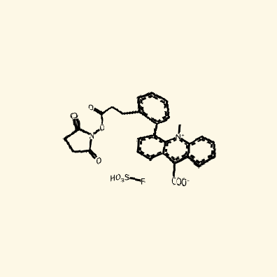 C[n+]1c2ccccc2c(C(=O)[O-])c2cccc(-c3ccccc3CCC(=O)ON3C(=O)CCC3=O)c21.O=S(=O)(O)F